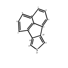 c1cc2c3c(cccc3c1)-c1cscc1-2